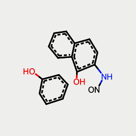 O=NNc1ccc2ccccc2c1O.Oc1ccccc1